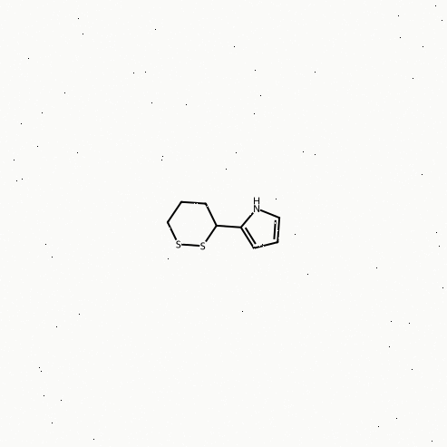 c1c[nH]c(C2CCCSS2)c1